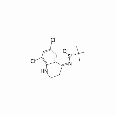 CC(C)(C)[S@@+]([O-])/N=C1/CCNc2c(Cl)cc(Cl)cc21